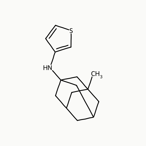 CC12CC3CC(C1)CC(Nc1ccsc1)(C3)C2